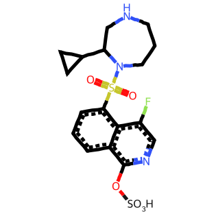 O=S(=O)(O)Oc1ncc(F)c2c(S(=O)(=O)N3CCCNCC3C3CC3)cccc12